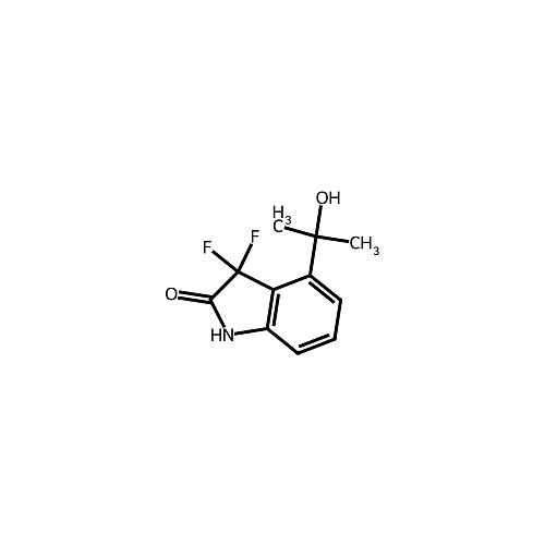 CC(C)(O)c1cccc2c1C(F)(F)C(=O)N2